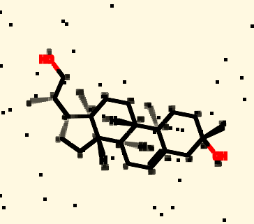 C[C@H](CO)[C@H]1CC[C@H]2[C@@H]3CC=C4C[C@@](C)(O)CC[C@]4(C)[C@H]3CC[C@]12C